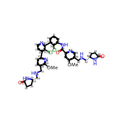 COc1cc(C(=O)Nc2cccc(-c3nccc(-c4ccc(CNC[C@@H]5CCC(=O)N5)c(OC)n4)c3Cl)c2Cl)ncc1CNC[C@@H]1CCC(=O)N1